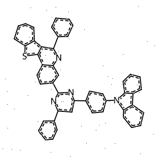 c1ccc(-c2cc(-c3ccc(-n4c5ccccc5c5ccccc54)cc3)nc(-c3ccc4c(c3)nc(-c3ccccc3)c3c5ccccc5sc43)n2)cc1